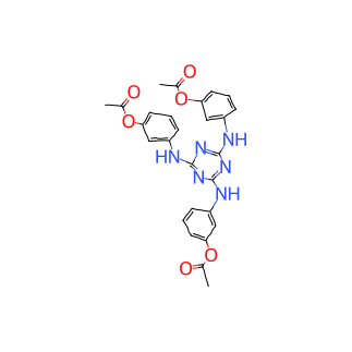 CC(=O)Oc1cccc(Nc2nc(Nc3cccc(OC(C)=O)c3)nc(Nc3cccc(OC(C)=O)c3)n2)c1